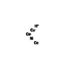 [Ce].[Co].[Cu].[H+].[Ni]